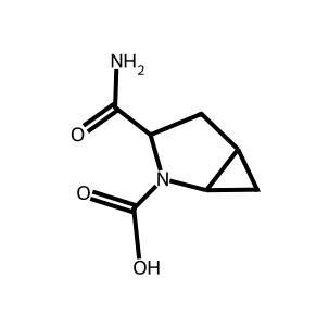 NC(=O)C1CC2CC2N1C(=O)O